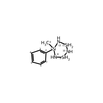 C[Si]1(c2ccccc2)N[SiH2]N[SiH2]N1